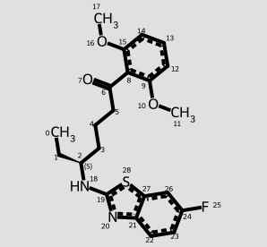 CC[C@@H](CCCC(=O)c1c(OC)cccc1OC)Nc1nc2ccc(F)cc2s1